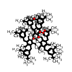 CCc1c(Cc2cc(C(C)(C)C)c(O)c(C(C)(C)C)c2)c(CC)c(OP(Oc2c(CC)c(Cc3cc(C(C)(C)C)c(O)c(C(C)(C)C)c3)c(CC)c(Cc3cc(C(C)(C)C)c(O)c(C(C)(C)C)c3)c2CC)Oc2c(CC)c(Cc3cc(C(C)(C)C)c(O)c(C(C)(C)C)c3)c(CC)c(Cc3cc(C(C)(C)C)c(O)c(C(C)(C)C)c3)c2CC)c(CC)c1Cc1cc(C(C)(C)C)c(O)c(C(C)(C)C)c1